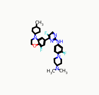 CC1CCC(N2CCOc3c(F)cc(-c4nc(Nc5ccc(N6CCC(N(C)C)CC6)c(F)c5)ncc4F)cc32)CC1